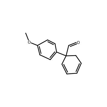 COc1ccc(C2(C=O)C=CC=CC2)cc1